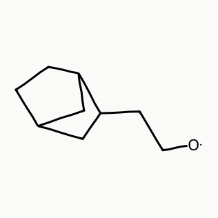 [O]CCC1CC2CCC1C2